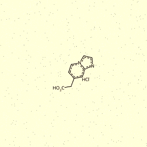 Cl.O=C(O)Cc1ccn2ccnc2c1